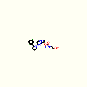 O=C(NCCO)Oc1cnn2ccc(N3CCCC3c3cc(F)ccc3F)nc12